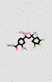 COC(=O)c1ccc(/C(CC(O)(c2cc(Cl)c(F)c(Cl)c2)C(F)(F)F)=N\O)cc1C